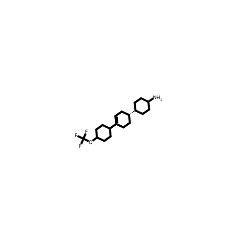 NC1CCC([C@H]2CC=C(C3CCC(OC(F)(F)F)CC3)CC2)CC1